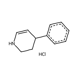 C1=CC(c2ccccc2)CCN1.Cl